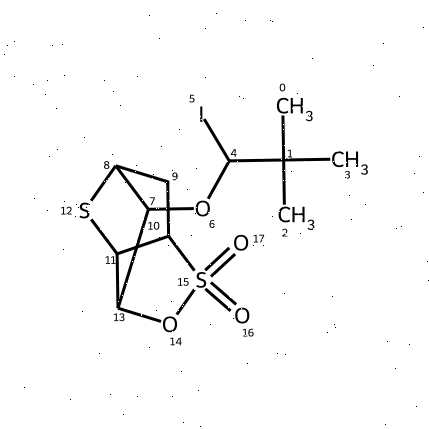 CC(C)(C)C(I)OC1C2CC3C(S2)C1OS3(=O)=O